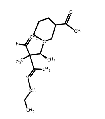 C=C(F)C(C)(/C(C)=N/NCC)[C@H](C)N1CCCC(C(=O)O)C1